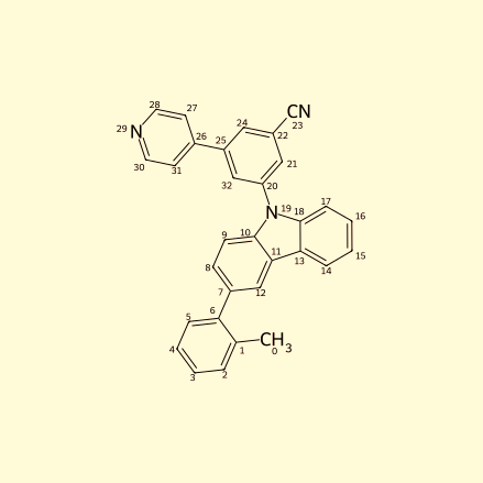 Cc1ccccc1-c1ccc2c(c1)c1ccccc1n2-c1cc(C#N)cc(-c2ccncc2)c1